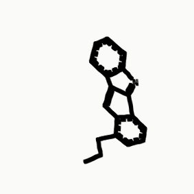 CCCc1cccc2c1C=C1C2=Nc2ccccc21